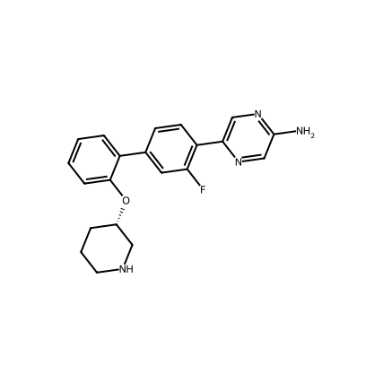 Nc1cnc(-c2ccc(-c3ccccc3O[C@H]3CCCNC3)cc2F)cn1